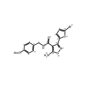 COc1ccc(CNC(=O)c2c(-c3ccc(Br)s3)noc2N)cc1